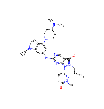 C=CCn1c(=O)c2cnc(Nc3cc(N4CCC(N(C)C)CC4)c4ccn(C5CC5)c4c3)nc2n1-c1ccc(=O)n(C(C)C)n1